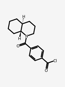 O=C(Cl)c1ccc(C(=O)N2CCC[C@@H]3CCCC[C@H]32)cc1